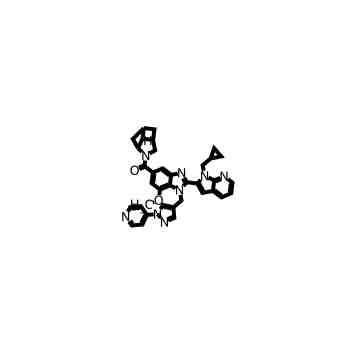 COc1cc(C(=O)N2CC3CC4CC2[C@H]43)cc2nc(-c3cc4cccnc4n3CC3CC3)n(Cc3cnn(-c4ccncc4)c3)c12